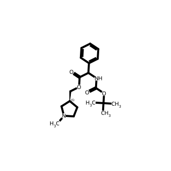 CN1CC[C@H](COC(=O)C(NC(=O)OC(C)(C)C)c2ccccc2)C1